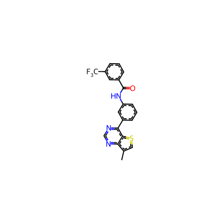 Cc1csc2c(-c3cccc(NC(=O)c4cccc(C(F)(F)F)c4)c3)ncnc12